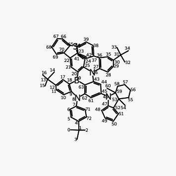 CC(C)(C)c1ccc(N2c3ccc(C(C)(C)C)cc3B3c4cc5c(cc4N(c4ccc(C(C)(C)C)cc4-c4ccccc4)c4cc(N6c7ccccc7C7(C)CCCCC67C)cc2c43)sc2ccccc25)cc1